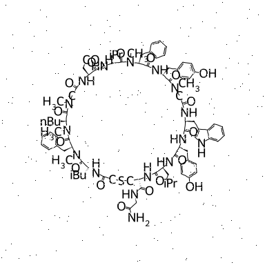 CCCC[C@H]1C(=O)N(C)CC(=O)N[C@@H](CC(=O)O)C(=O)N[C@@H](C(C)C)C(=O)N(C)[C@@H](Cc2ccccc2)C(=O)N[C@@H](Cc2ccc(O)cc2)C(=O)N(C)CC(=O)N[C@@H](Cc2c[nH]c3ccccc23)C(=O)N[C@@H](Cc2ccc(O)cc2)C(=O)N[C@@H](CC(C)C)C(=O)N[C@H](C(=O)NCC(N)=O)CSCC(=O)N[C@@H]([C@@H](C)CC)C(=O)N(C)[C@@H](Cc2ccccc2)C(=O)N1C